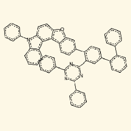 c1ccc(-c2nc(-c3ccccc3)nc(-c3cc(-c4ccccc4-c4ccccc4)ccc3-c3ccc4c(c3)oc3ccc5c(c6ccccc6n5-c5ccccc5)c34)n2)cc1